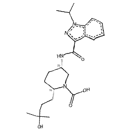 CC(C)n1nc(C(=O)N[C@H]2CC[C@@H](CCC(C)(C)O)N(C(=O)O)C2)c2ccccc21